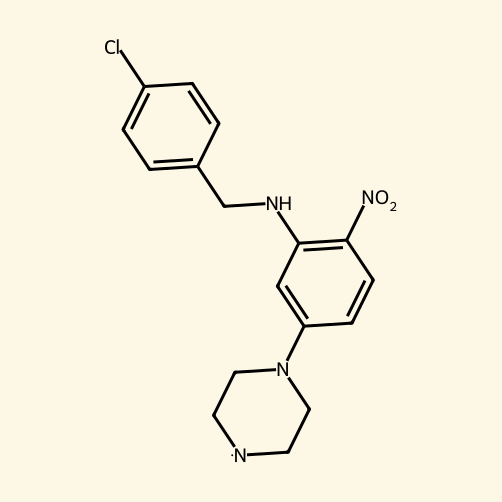 O=[N+]([O-])c1ccc(N2CC[N]CC2)cc1NCc1ccc(Cl)cc1